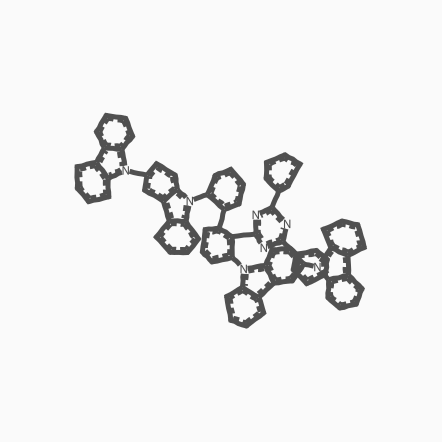 c1ccc(-c2nc(-c3ccccc3)nc(-c3c(-c4ccccc4-n4c5ccccc5c5cc(-n6c7ccccc7c7ccccc76)ccc54)cccc3-n3c4ccccc4c4cc(-n5c6ccccc6c6ccccc65)ccc43)n2)cc1